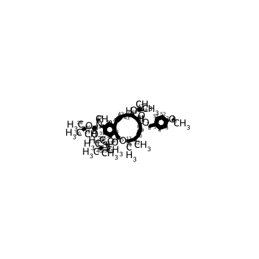 COc1ccc(CO[C@@H]2/C=C\[C@@H](C)[C@H](C)OC(=O)c3c(cc(N(C)C(=O)OC(C)(C)C)cc3O[Si](C)(C)C(C)(C)C)C#CC[C@@H]3OC(C)(C)O[C@@H]32)cc1